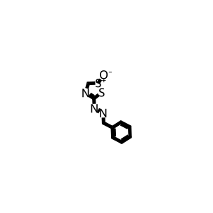 [O-][S+]1CN=C(N=NCc2ccccc2)S1